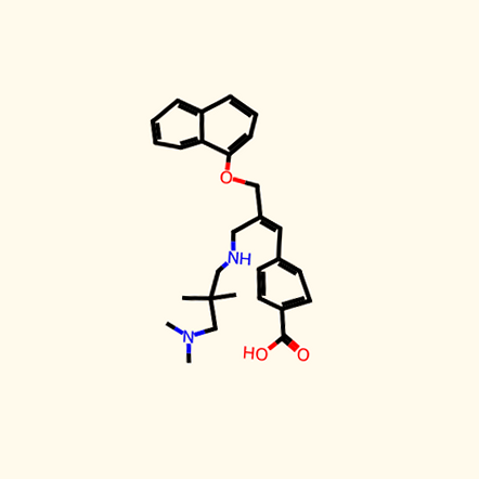 CN(C)CC(C)(C)CNC/C(=C\c1ccc(C(=O)O)cc1)COc1cccc2ccccc12